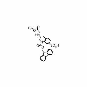 Cc1ccc(S(=O)(=O)O)cc1N(CCNCC(=O)OC(C)(C)C)C(=O)OCC1c2ccccc2-c2ccccc21